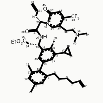 C=CCCCCc1cc(C)cc(C)c1-c1cc(C2CC2)c(F)c([C@H](CC(=O)OCC)NC(=O)[C@H](CC=C)n2cc(CCN(C)C)c(C(F)(F)F)cc2=O)c1